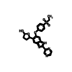 CCS(=O)(=O)c1ccc(Oc2cc3[nH]c(-c4cnccn4)nc3cc2C2CCC(O)O2)cc1